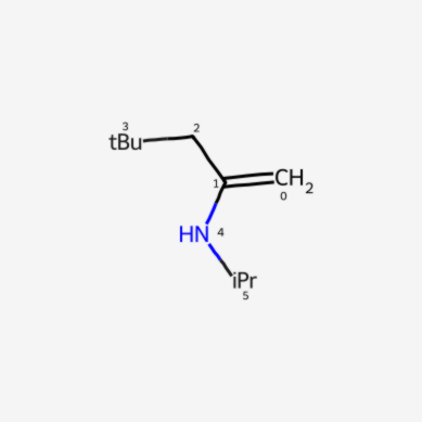 C=C(CC(C)(C)C)NC(C)C